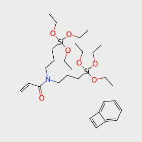 C1=Cc2ccccc21.C=CC(=O)N(CCC[Si](OCC)(OCC)OCC)CCC[Si](OCC)(OCC)OCC